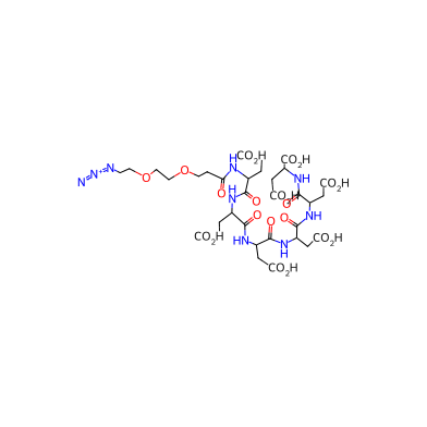 [N-]=[N+]=NCCOCCOCCC(=O)NC(CC(=O)O)C(=O)NC(CC(=O)O)C(=O)NC(CC(=O)O)C(=O)NC(CC(=O)O)C(=O)NC(CC(=O)O)C(=O)NC(CC(=O)O)C(=O)O